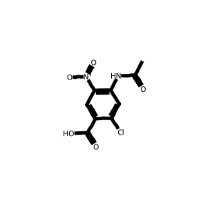 CC(=O)Nc1cc(Cl)c(C(=O)O)cc1[N+](=O)[O-]